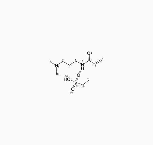 C=CC(=O)NCCCN(C)C.CCS(=O)(=O)O